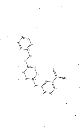 NC(=O)c1cccc(CN2CCN(CCc3ccccc3)CC2)c1